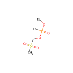 CCOP(=O)(CC)OCS(C)(=O)=O